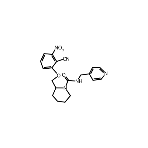 N#Cc1c(OCC2CCCCN2C(=O)NCc2ccncc2)cccc1[N+](=O)[O-]